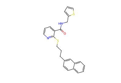 O=C(NCc1cccs1)c1cccnc1SCCCc1ccc2ccccc2c1